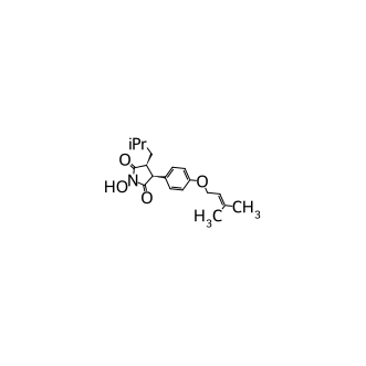 CC(C)=CCOc1ccc([C@H]2C(=O)N(O)C(=O)[C@H]2CC(C)C)cc1